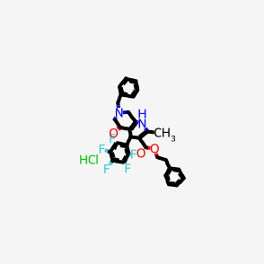 CC1=C(C(=O)OCCc2ccccc2)C(c2c(F)c(F)c(F)c(F)c2F)C2=C(CN(Cc3ccccc3)CC2=O)N1.Cl